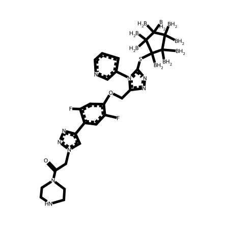 BC1(B)C(B)(B)C(B)(B)C(B)(Sc2nnc(COc3cc(F)c(-c4cn(CC(=O)N5CCNCC5)nn4)cc3F)n2-c2cccnc2)C1(B)B